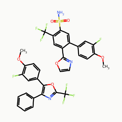 COc1ccc(-c2cc(S(N)(=O)=O)c(C(F)(F)F)cc2-c2ncco2)cc1F.COc1ccc(-c2oc(C(F)(F)F)nc2-c2ccccc2)cc1F